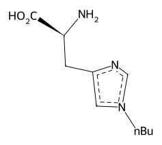 CCCCn1cnc(C[C@H](N)C(=O)O)c1